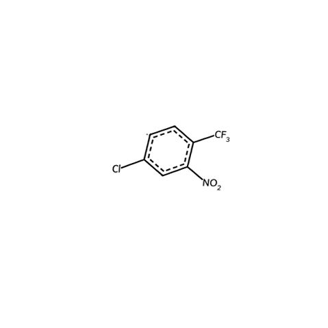 O=[N+]([O-])c1cc(Cl)[c]cc1C(F)(F)F